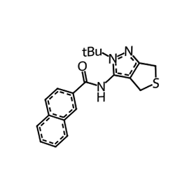 CC(C)(C)n1nc2c(c1NC(=O)c1ccc3ccccc3c1)CSC2